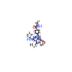 CN(c1cc(NC2CCCC2)nn2c(-c3ccc(C(=O)NC4CC4)cc3)nnc12)C1CCOCC1